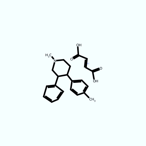 Cc1ccc(C2CCN(C)CC2c2ccccc2)cc1.O=C(O)/C=C/C(=O)O